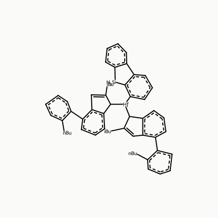 CCCCc1ccccc1-c1cccc2c1C=C(C(C)CC)[CH]2[Hf]([c]1cccc2c1[SiH2]c1ccccc1-2)[CH]1C(C(C)CC)=Cc2c(-c3ccccc3CCCC)cccc21